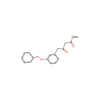 COC(=O)CC(=O)Cc1cccc(OCc2ccccc2)c1